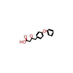 O=C(O)CC(=O)Cc1ccc(Oc2ccccc2)cc1